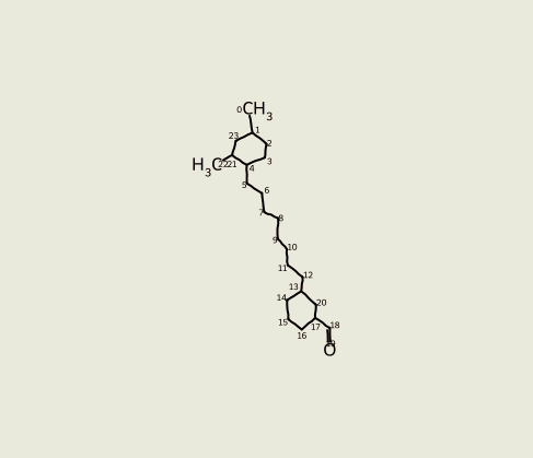 CC1CCC(CCCCCCCCC2CCCC(C=O)C2)C(C)C1